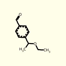 CCOC(C)c1ccc(C=O)cc1